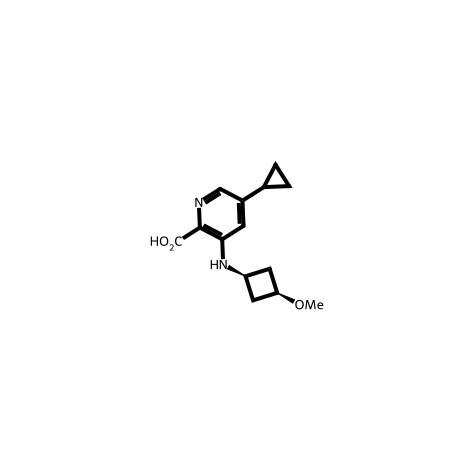 CO[C@H]1C[C@@H](Nc2cc(C3CC3)cnc2C(=O)O)C1